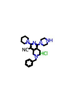 Cl.N#Cc1c(N2CCCCC2)nc(N2CCNCC2)c2c1CN(Cc1ccccc1)CC2